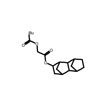 CCC(C)C(=O)OCC(=O)OC1CC2CC1C1C3CCC(C3)C21